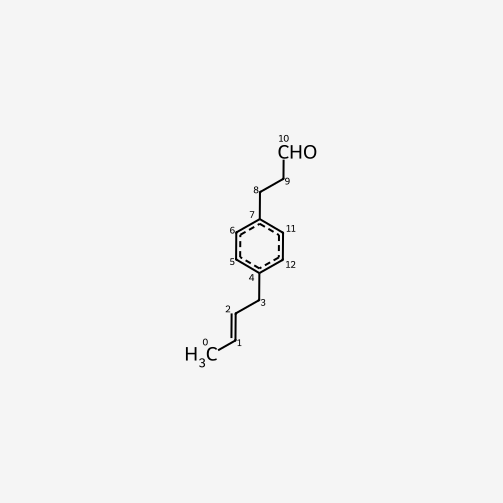 C/C=C/Cc1ccc(CCC=O)cc1